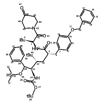 CC[C@H](C)[C@H](NC(=O)[C@H](Cc1ccc(OCc2ccccc2)cc1)C[C@H]([C@@H](NC(=O)OC(C)(C)C)C(O[SiH](C)C)c1ccccc1)C(C)(C)C)C(=O)N1CCC(=O)CC1